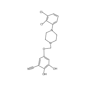 N#Cc1cc(OCN2CCN(c3cccc(Cl)c3Cl)CC2)cc(O)c1O